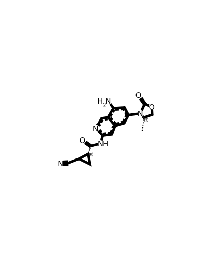 C[C@H]1COC(=O)N1c1cc(N)c2cnc(NC(=O)[C@@H]3CC3C#N)cc2c1